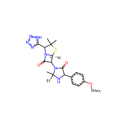 CCCCCCOc1ccc(C2NC(C)(CC)N(C3C(=O)N4C(c5nnn[nH]5)C(C)(C)S[C@@H]34)C2=O)cc1